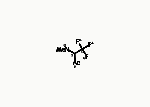 CNC(C(C)=O)C(F)(F)F